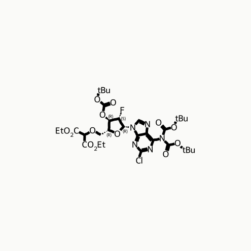 CCOC(=O)C(OC[C@H]1O[C@@H](n2cnc3c(N(C(=O)OC(C)(C)C)C(=O)OC(C)(C)C)nc(Cl)nc32)[C@@H](F)[C@@H]1OC(=O)OC(C)(C)C)C(=O)OCC